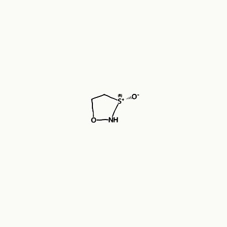 [O-][S@@+]1CCON1